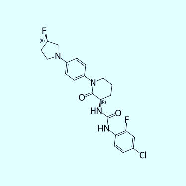 O=C(Nc1ccc(Cl)cc1F)N[C@@H]1CCCN(c2ccc(N3CC[C@@H](F)C3)cc2)C1=O